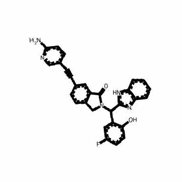 Nc1ccc(C#Cc2ccc3c(c2)C(=O)N(C(c2nc4ccccc4[nH]2)c2cc(F)ccc2O)C3)cn1